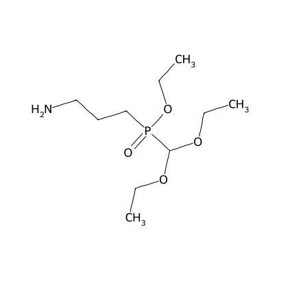 CCOC(OCC)P(=O)(CCCN)OCC